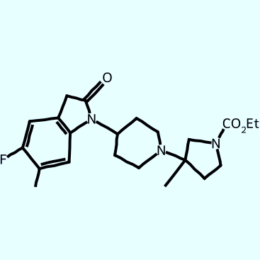 CCOC(=O)N1CCC(C)(N2CCC(N3C(=O)Cc4cc(F)c(C)cc43)CC2)C1